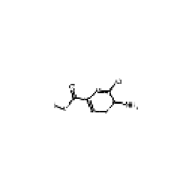 NC1CC=C(C(=O)OI)C=C1Cl